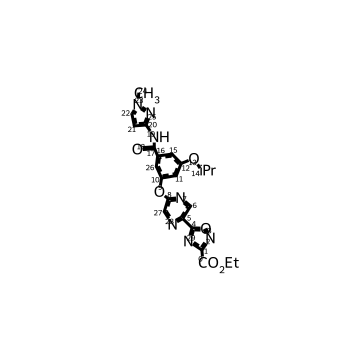 CCOC(=O)c1noc(-c2cnc(Oc3cc(OC(C)C)cc(C(=O)Nc4ccn(C)n4)c3)cn2)n1